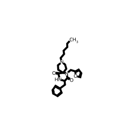 CCCCCCN1CCC2(CC1)C(=O)NC(Cc1ccccc1)C(=O)N2Cc1ccco1